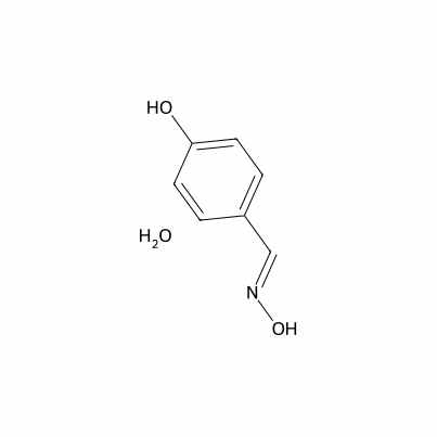 O.ON=Cc1ccc(O)cc1